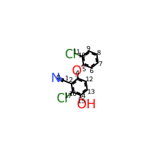 N#Cc1c(Oc2ccccc2Cl)ccc(O)c1Cl